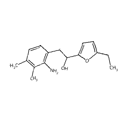 [CH2]c1ccc([CH]C(O)c2ccc(CC)o2)c(N)c1C